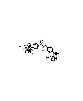 CN(C)S(=O)(=O)c1ccc(C(=O)NCc2ccc(NC3=NCCN3)cc2)cc1